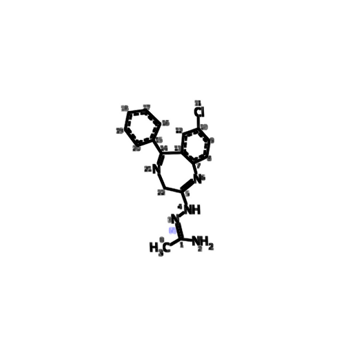 C/C(N)=N/NC1=Nc2ccc(Cl)cc2C(c2ccccc2)=NC1